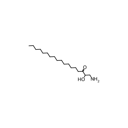 CCCCCCCCCCCCCCCC(=O)C(O)CN